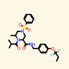 CCC(F)(F)Oc1ccc(CNC(=O)C2CN(S(=O)(=O)c3ccccc3)CC(C)N2C(=O)C(C)C)cc1